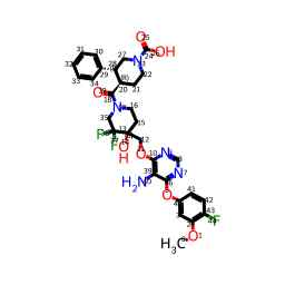 COc1cc(Oc2ncnc(OC[C@@]3(O)CCN(C(=O)[C@@H]4CCN(C(=O)O)C[C@H]4c4ccccc4)CC3(F)F)c2N)ccc1F